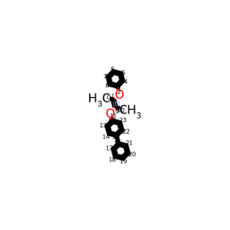 C/C(Oc1ccccc1)=C(/C)Oc1ccc(-c2ccccc2)cc1